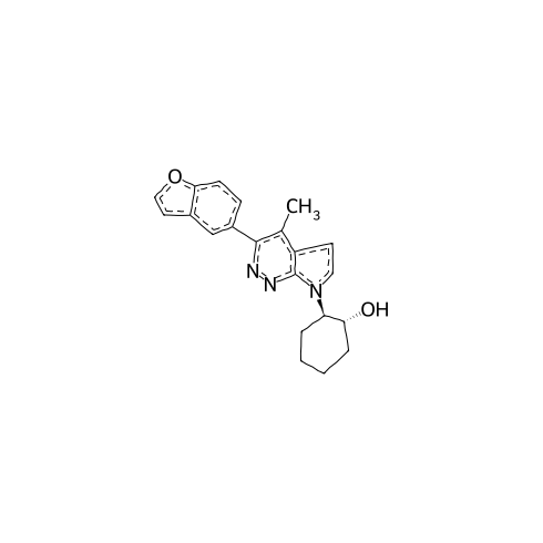 Cc1c(-c2ccc3occc3c2)nnc2c1ccn2[C@@H]1CCCC[C@H]1O